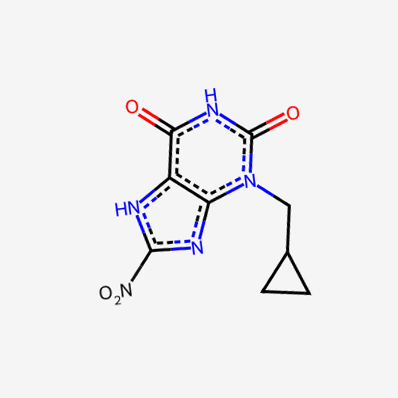 O=c1[nH]c(=O)n(CC2CC2)c2nc([N+](=O)[O-])[nH]c12